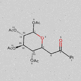 CC(=O)OC1OC(CC(=O)C(C)C)[C@H](OC(C)=O)[C@@H](OC(C)=O)[C@@H]1OC(C)=O